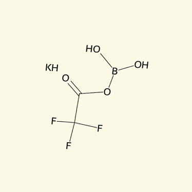 O=C(OB(O)O)C(F)(F)F.[KH]